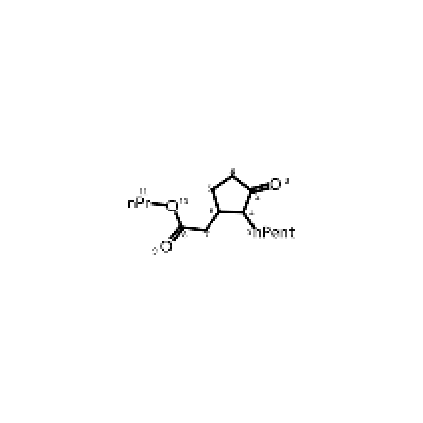 CCCCCC1C(=O)CCC1CC(=O)OCCC